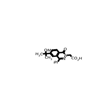 COC(C)(C)c1ccc2c(=O)n(CC(=O)O)nc(C(C)C)c2c1